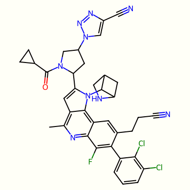 Cc1nc2c(F)c(-c3cccc(Cl)c3Cl)c(CCC#N)cc2c2c1cc(C1CC(n3cc(C#N)nn3)CN1C(=O)C1CC1)n2C1C2CNC1C2